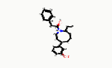 CCC1CCCC(c2cccc(O)c2)CCN1C(=O)Cc1ccccc1